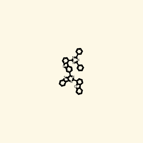 c1ccc(-c2nc(-c3ccccc3)nc(-c3cccc4sc5cc(-c6nc(-c7cccc8c7oc7ccccc78)nc7c6sc6ccccc67)ccc5c34)n2)cc1